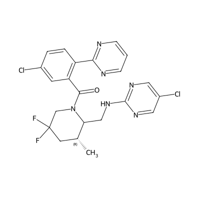 C[C@@H]1CC(F)(F)CN(C(=O)c2cc(Cl)ccc2-c2ncccn2)C1CNc1ncc(Cl)cn1